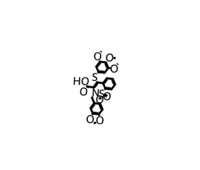 COc1cc(SC2=C(C(=O)O)N(Cc3ccc4c(c3)OCO4)S(=O)(=O)c3ccccc32)cc(OC)c1OC